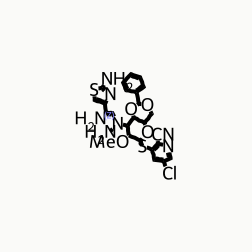 COC1C(Sc2cc(Cl)cnc2C#N)OC2COC(c3ccccc3)OC2C1N(N)/C=C(\N)c1csc(N)n1